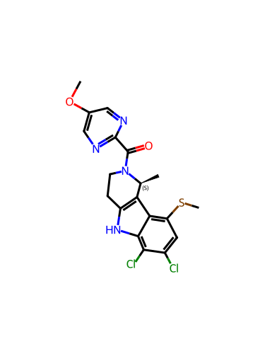 COc1cnc(C(=O)N2CCc3[nH]c4c(Cl)c(Cl)cc(SC)c4c3[C@@H]2C)nc1